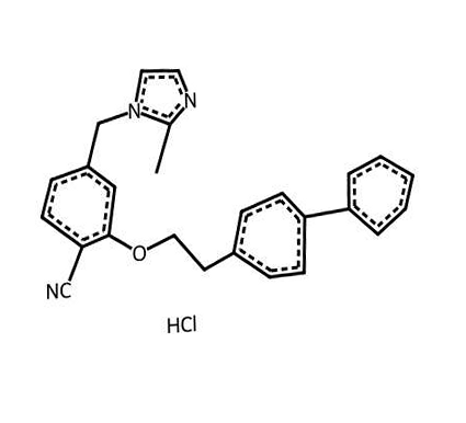 Cc1nccn1Cc1ccc(C#N)c(OCCc2ccc(-c3ccccc3)cc2)c1.Cl